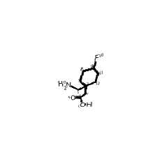 NCC1(CC(=O)O)CCC(F)CC1